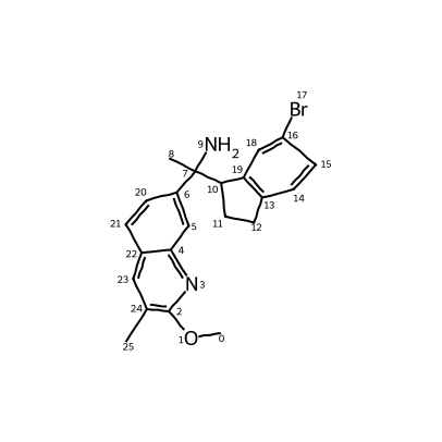 COc1nc2cc(C(C)(N)C3CCc4ccc(Br)cc43)ccc2cc1C